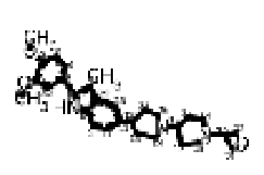 COc1ccc(-c2[nH]c3ccc(C4CCN(C5CCN(C6COC6)CC5)CC4)cc3c2C)cc1OC